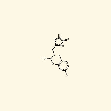 CC(Oc1cc(F)ccc1F)SCc1n[nH]c(=S)[nH]1